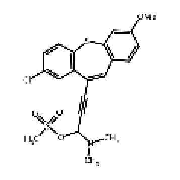 COc1ccc2c(c1)Sc1ccc(Cl)cc1C(C#CC(OS(C)(=O)=O)N(C)C)=C2